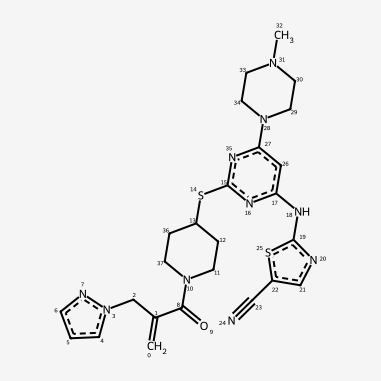 C=C(Cn1cccn1)C(=O)N1CCC(Sc2nc(Nc3ncc(C#N)s3)cc(N3CCN(C)CC3)n2)CC1